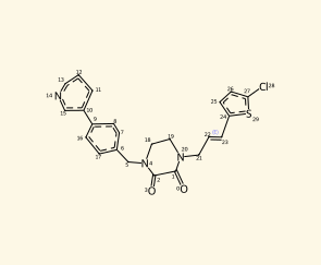 O=C1C(=O)N(Cc2ccc(-c3cccnc3)cc2)CCN1C/C=C/c1ccc(Cl)s1